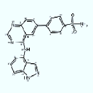 NS(=O)(=O)c1ccc(-c2ccc3ncnc(Nc4cccc5[nH]ncc45)c3c2)cc1